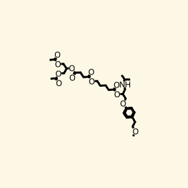 COCCc1ccc(OCC(CNC(C)C)OC(=O)CCCCOC(=O)CCC(=O)OC(COC(C)=O)COC(C)=O)cc1